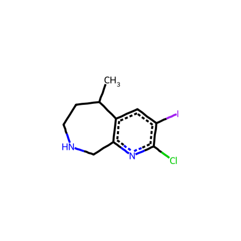 CC1CCNCc2nc(Cl)c(I)cc21